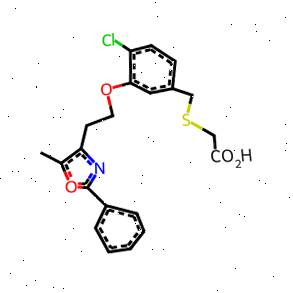 Cc1oc(-c2ccccc2)nc1CCOc1cc(CSCC(=O)O)ccc1Cl